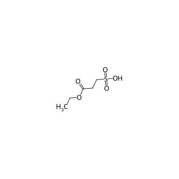 CCOC(=O)CCS(=O)(=O)O